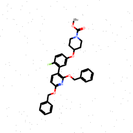 CC(C)(C)OC(=O)N1CCC(Oc2ccc(F)c(-c3ccc(OCc4ccccc4)nc3OCc3ccccc3)c2)CC1